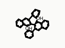 Oc1c(-c2c(-c3ccccc3)cc3ccccc3c2O)c(-c2ccccc2)cc2ccccc12